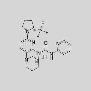 O=C(Nc1ccccn1)N1c2nc(N3CCC[C@@H]3C(F)(F)F)ccc2N2CCC[C@H]1C2